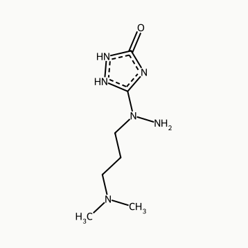 CN(C)CCCN(N)c1nc(=O)[nH][nH]1